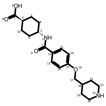 O=C(N[C@H]1CC[C@H](C(=O)O)CC1)c1ccc(OCC2CCNCC2)cc1